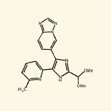 COC(OC)c1nc(-c2ccc3ncnn3c2)c(-c2cccc(C)n2)[nH]1